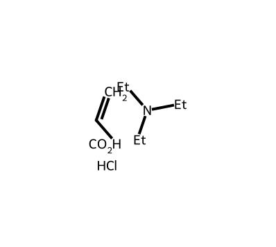 C=CC(=O)O.CCN(CC)CC.Cl